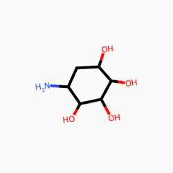 NC1CC(O)C(O)C(O)C1O